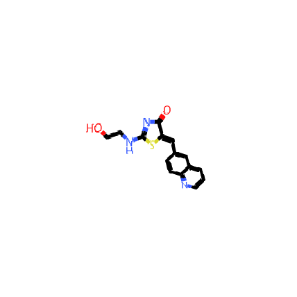 O=C1N=C(NCCO)S/C1=C\c1ccc2ncccc2c1